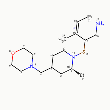 CC[C@H]1CC(CN2CCOCC2)CCN1SC(CN)/C(C)=C\C(C)C